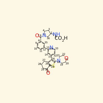 O=C(O)N[C@@H]1CCN(C(=O)c2cccc(-c3cc(-c4c(N5CCOCC5)sc5c4CCCC5=O)ccn3)c2)C1